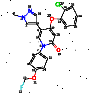 Cn1cc(-c2cn(-c3ccc(OCF)cc3)c(=O)cc2Oc2ccccc2Cl)cn1